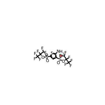 Nc1sc(S(=O)(=O)OC(F)(C(F)F)C(F)(F)F)cc1S(=O)(=O)OC(F)(C(F)F)C(F)(F)F